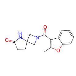 Cc1oc2ccccc2c1C(=O)N1CC2(CCC(=O)N2)C1